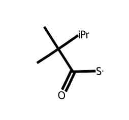 CC(C)C(C)(C)C(=O)[S]